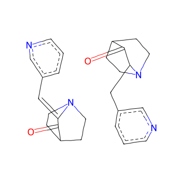 O=C1/C(=C/c2cccnc2)N2CCC1CC2.O=C1C2CCN(CC2)C1Cc1cccnc1